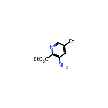 CCOC(=O)c1ncc(CC)cc1N